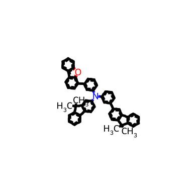 CC1(C)c2ccccc2-c2cc(-c3cccc(N(c4cccc(-c5cccc6c5oc5ccccc56)c4)c4ccc5c(c4)C(C)(C)c4ccccc4-5)c3)ccc21